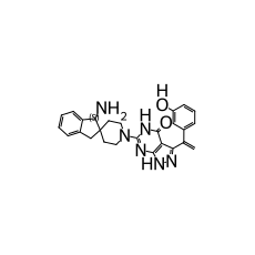 C=C(c1cccc(O)c1)c1n[nH]c2nc(N3CCC4(CC3)Cc3ccccc3[C@H]4N)[nH]c(=O)c12